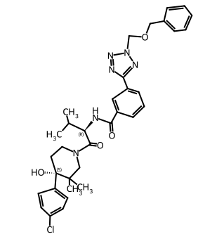 CC(C)[C@@H](NC(=O)c1cccc(-c2nnn(COCc3ccccc3)n2)c1)C(=O)N1CC[C@](O)(c2ccc(Cl)cc2)C(C)(C)C1